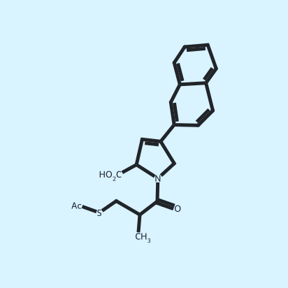 CC(=O)SCC(C)C(=O)N1CC(c2ccc3ccccc3c2)=CC1C(=O)O